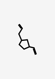 C=CCC1CCC(C=C)C1